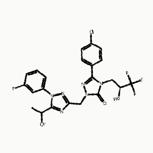 CC(O)c1nc(Cn2nc(-c3ccc(Cl)cc3)n(C[C@H](O)C(F)(F)F)c2=O)nn1-c1cccc(F)c1